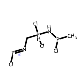 CP(Cl)N[PH](Cl)(Cl)C/N=P/Cl